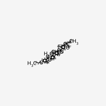 CCCCOc1ccc(C(=O)Oc2ccc3c(c2)C(C)(C)c2cc(OC(=O)c4ccc(OC(CCC)C5CO5)cc4F)ccc2-3)c(F)c1